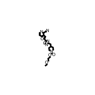 CCOCCCOC(=O)N1CCC(Cc2noc(-c3cc4c(C#N)nccc4o3)n2)CC1